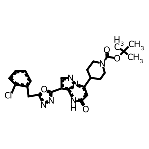 CC(C)(C)OC(=O)N1CCC(c2cc(=O)[nH]c3c(-c4nnc(Cc5ccccc5Cl)o4)cnn23)CC1